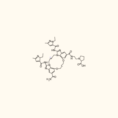 CCC1N=C(C)C=C1C(=O)Nc1nc2cc(C(N)=O)cc3c2n1C/C=C/Cn1c(NC(=O)c2cc(C)nn2CC)nc2cc(C(=O)NCCN4CCCC4C(=O)O)cc(c21)OCCCO3